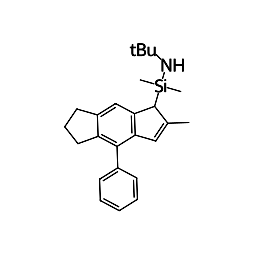 CC1=Cc2c(cc3c(c2-c2ccccc2)CCC3)C1[Si](C)(C)NC(C)(C)C